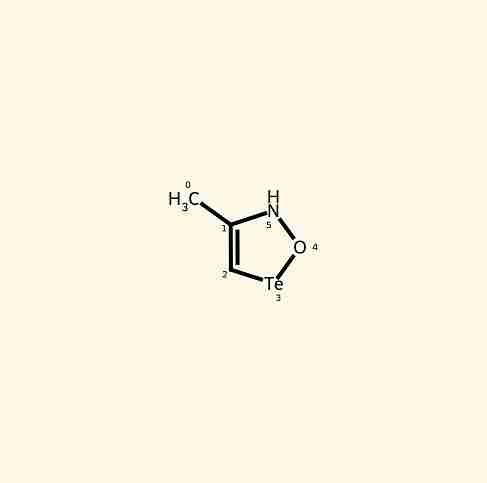 CC1=C[Te]ON1